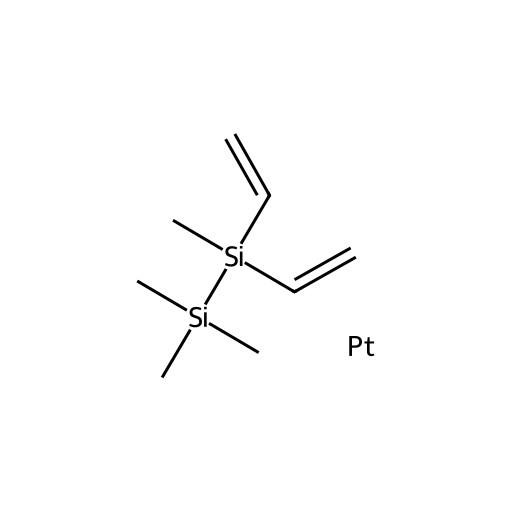 C=C[Si](C)(C=C)[Si](C)(C)C.[Pt]